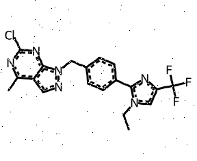 CCn1cc(C(F)(F)F)nc1-c1ccc(Cn2ncc3c(C)nc(Cl)nc32)cc1